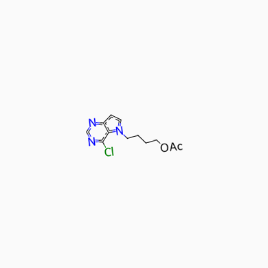 CC(=O)OCCCCn1ccc2ncnc(Cl)c21